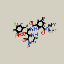 CCCN(CCC)C(=O)c1cc(C)cc(C(=O)N[C@@H](Cc2cc(F)cc(F)c2)[C@H](O)[C@@H]2NCCN(C)C2=O)c1